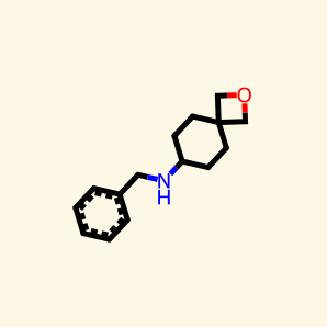 c1ccc(CNC2CCC3(CC2)COC3)cc1